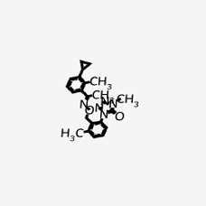 CC(=NOCc1c(C)cccc1-n1nnn(C)c1=O)c1cccc(C2CC2)c1C